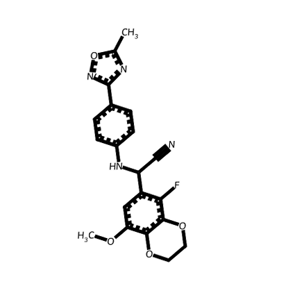 COc1cc(C(C#N)Nc2ccc(-c3noc(C)n3)cc2)c(F)c2c1OCCO2